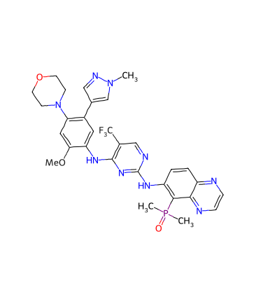 COc1cc(N2CCOCC2)c(-c2cnn(C)c2)cc1Nc1nc(Nc2ccc3nccnc3c2P(C)(C)=O)ncc1C(F)(F)F